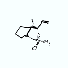 C=CC[C@]1(C)CCC[C@@H]1S(N)(=O)=O